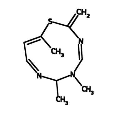 C=C1/N=C\N(C)C(C)/N=C\C=C(/C)S1